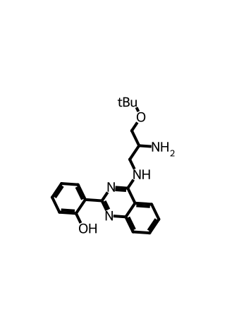 CC(C)(C)OCC(N)CNc1nc(-c2ccccc2O)nc2ccccc12